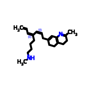 C=C/C=C(\C=C/CC1=CC2=C(CC1)CCC(C)=N2)CCCCNC